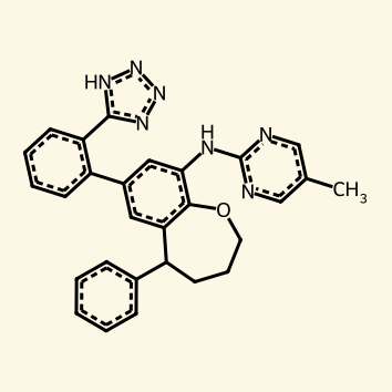 Cc1cnc(Nc2cc(-c3ccccc3-c3nnn[nH]3)cc3c2OCCCC3c2ccccc2)nc1